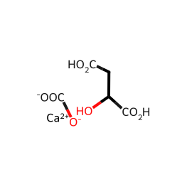 O=C(O)CC(O)C(=O)O.O=C([O-])[O-].[Ca+2]